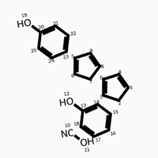 C1=CCC=C1.C1=CCC=C1.N#CO.Oc1ccccc1.Oc1ccccc1